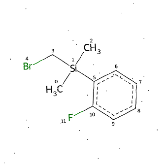 C[Si](C)(CBr)c1ccccc1F